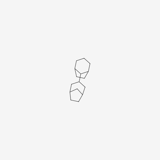 C1CC2CCC(C1)C2C1CC2CCC(C2)C1